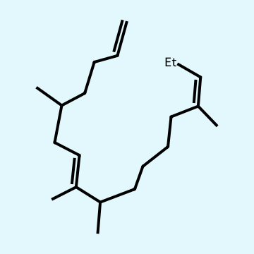 C=CCCC(C)CC=C(C)C(C)CCCCC(C)=CCC